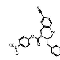 N#Cc1ccc2c(c1)CN(C(=O)Oc1ccc([N+](=O)[O-])cc1)C(Cc1ccccc1)CN2